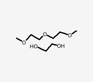 COCCOCCOC.OCCO